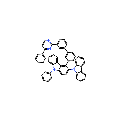 c1ccc(-c2ccnc(-c3cccc(-c4cccc(-c5c(-n6c7ccccc7c7ccccc76)ccc6c5c5ccccc5n6-c5ccccc5)c4)c3)n2)cc1